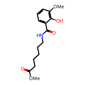 COC(=O)CCCCCNC(=O)c1cccc(OC)c1O